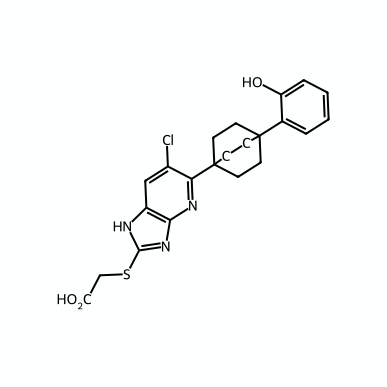 O=C(O)CSc1nc2nc(C34CCC(c5ccccc5O)(CC3)CC4)c(Cl)cc2[nH]1